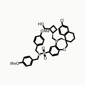 COc1ccc(CN(Cc2ccc(OC)cc2)S(=O)(=O)c2ccc3c(c2)N(C[C@@H]2CCC2CO)C[C@@]2(CCCc4cc(Cl)ccc42)CO3)cc1